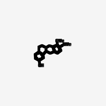 COc1ccc2c(c1OC)CN1CCc3ccc(O)cc3C1C2